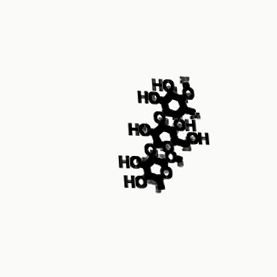 COC1OC(C)C(O)C(O)C1OC1OC(CO)C(O)C(OC2CC(C)C(OC)C(O)C2O)C1O